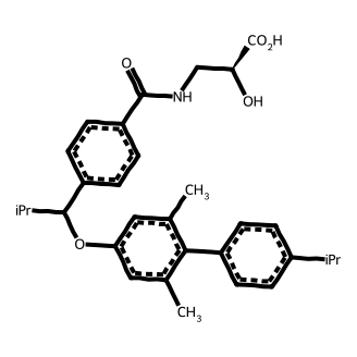 Cc1cc(OC(c2ccc(C(=O)NC[C@H](O)C(=O)O)cc2)C(C)C)cc(C)c1-c1ccc(C(C)C)cc1